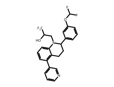 OC(CN1c2cccc(-c3cccnc3)c2CCC1c1cccc(OC(F)F)c1)C(F)(F)F